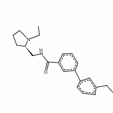 CCc1cccc(-c2cccc(C(=O)NC[C@H]3CCCN3CC)c2)c1